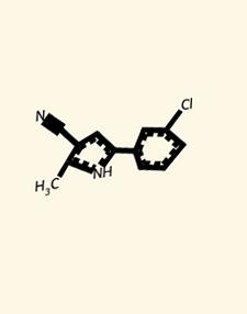 Cc1[nH]c(-c2cccc(Cl)c2)cc1C#N